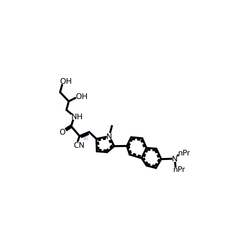 CCCN(CCC)c1ccc2cc(-c3ccc(/C=C(\C#N)C(=O)NCC(O)CO)n3C)ccc2c1